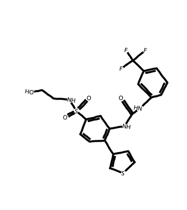 O=C(Nc1cccc(C(F)(F)F)c1)Nc1cc(S(=O)(=O)NCCO)ccc1-c1ccsc1